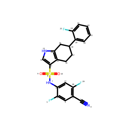 N#Cc1cc(F)c(NS(=O)(=O)c2c[nH]c3c2CCC(c2ccccc2F)C3)cc1F